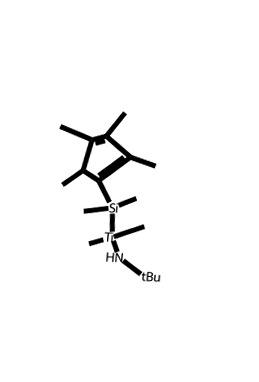 CC1=C(C)C(C)C([Si](C)(C)[Ti]([CH3])([CH3])[NH]C(C)(C)C)=C1C